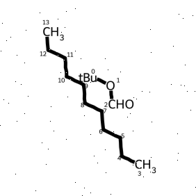 CC(C)(C)OC=O.CCCCCCCCCCC